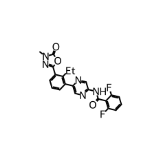 CCc1c(-c2cnc(NC(=O)c3c(F)cccc3F)cn2)cccc1-c1nn(C)c(=O)o1